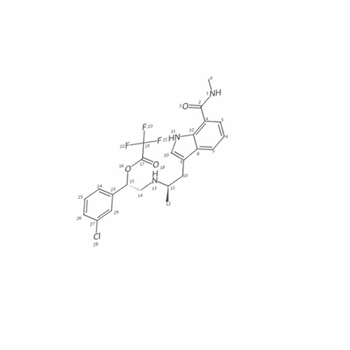 CNC(=O)c1cccc2c(C[C@@H](C)NC[C@@H](OC(=O)C(F)(F)F)c3cccc(Cl)c3)c[nH]c12